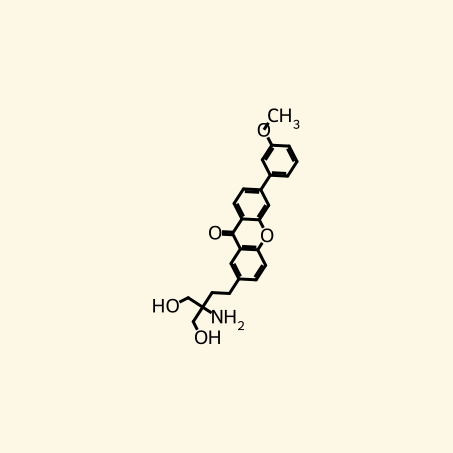 COc1cccc(-c2ccc3c(=O)c4cc(CCC(N)(CO)CO)ccc4oc3c2)c1